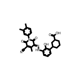 CC1=C(C#N)C(=O)N(c2ccc(C)c(C)c2)C(=O)/C1=N/Nc1cccc(C2CCCC(C(=O)O)C2)c1O